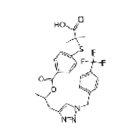 CC(Cc1cn(Cc2ccc(C(F)(F)F)cc2)nn1)OC(=O)c1ccc(SC(C)(C)C(=O)O)cc1